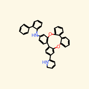 C1=CCNC(c2ccc3c(c2)Oc2ccccc2-c2ccccc2Oc2cc(Nc4ccccc4-c4ccccc4)ccc2-3)=C1